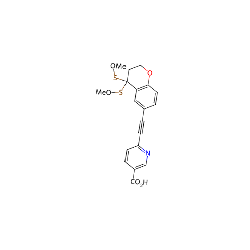 COSC1(SOC)CCOc2ccc(C#Cc3ccc(C(=O)O)cn3)cc21